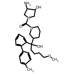 COCCCCC(O)(c1ccccc1-c1ccc(C)cc1)C1CCCN(C(=O)N2CC(N)C(O)C2)C1